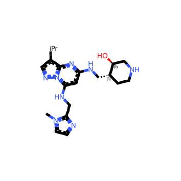 CC(C)c1cnn2c(NCc3nccn3C)cc(NC[C@H]3CCNC[C@@H]3O)nc12